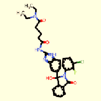 CCN(CC)C(=O)CCCC(=O)Nc1nc2cc(C3(O)c4ccccc4C(=O)N3c3cccc(Cl)c3F)ccc2[nH]1